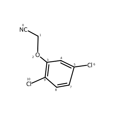 N#CCOc1[c]c(Cl)ccc1Cl